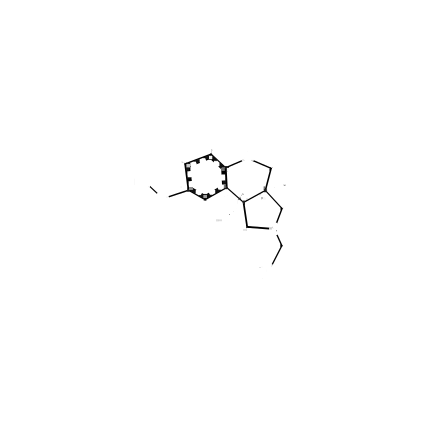 [CH2]CN1C[C@@H]2COc3ccc(OC)cc3[C@@H]2C1